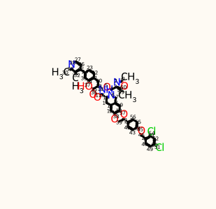 Cc1nc(C(=O)N2Cc3cc4c(cc3C[C@H]2C(=O)NC(Cc2ccc(-c3ccnc(C)c3C)cc2)C(=O)O)OC[C@H](c2ccc(OCc3ccc(Cl)cc3Cl)cc2)O4)c(C)o1